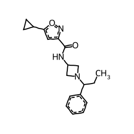 CCC(c1ccccc1)N1CC(NC(=O)c2cc(C3CC3)on2)C1